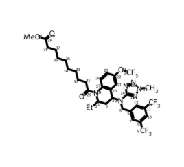 CCC1CC(N(Cc2cc(C(F)(F)F)cc(C(F)(F)F)c2)c2nnn(C)n2)c2cc(OC(F)(F)F)ccc2N1C(=O)CCCCCCCCC(=O)OC